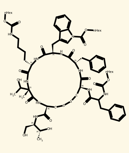 CCCCCCOC(=O)NCCCC[C@@H]1NC(=O)[C@@H](Cc2cn(C(=O)OCCCCCC)c3ccccc23)NC(=O)[C@H](Cc2ccccc2)NC(=O)[C@@H](NC(=O)C(Cc2ccccc2)NC(=O)OCCCCCC)CSSC[C@@H](C(=O)N[C@H](CO)[C@@H](C)O)NC(=O)[C@](C)(C(C)O)NC1=O